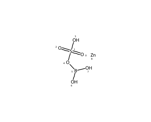 O=S(=O)(O)OB(O)O.[Zn]